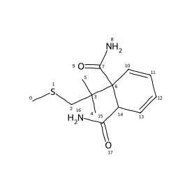 CSCC(C)(C)C1(C(N)=O)C=CC=CC1C(N)=O